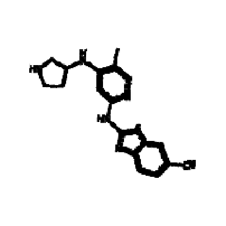 Cc1cnc(Nc2nc3ccc(C#N)cc3s2)cc1NC1CCNC1